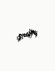 O=C1CC2CN(c3cccc(C(F)(F)F)n3)CC2CN1c1cnc2cnn(CC(F)F)c2n1